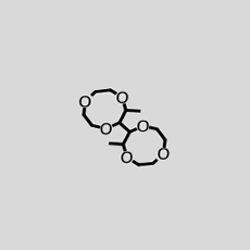 CC1OCCOCCOC1C1OCCOCCOC1C